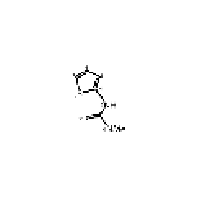 CNC(=O)Nc1cc[c]s1